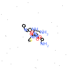 NCCCC[C@@H](NC1CCC2(CC1)CCN(Cc1ccccc1)C2)C(=O)N1CCN(C(=O)Oc2cccc(CN)c2)C[C@H]1C(=O)NCc1cccs1